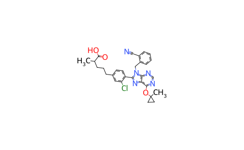 CC(CCCc1ccc(-c2nc3c(OC4(C)CC4)ncnc3n2Cc2ccccc2C#N)c(Cl)c1)C(=O)O